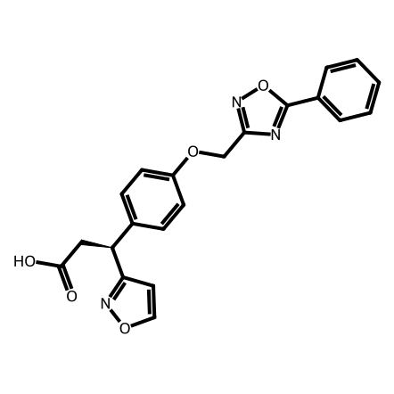 O=C(O)C[C@@H](c1ccc(OCc2noc(-c3ccccc3)n2)cc1)c1ccon1